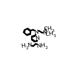 CN(C)CCN(Cc1ccccc1)c1ccccn1.NCCN